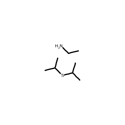 CCN.C[CH](C)[Ti][CH](C)C